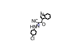 Cn1cc(C(=O)/C(C#N)=N/Nc2ccc(Cl)cc2)c2ccccc21